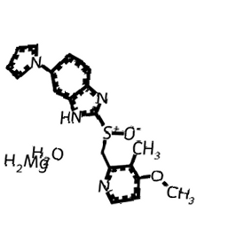 COc1ccnc(C[S+]([O-])c2nc3ccc(-n4cccc4)cc3[nH]2)c1C.O.[MgH2]